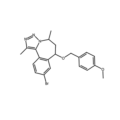 COc1ccc(COC2CC(C)n3nnc(C)c3-c3ccc(Br)cc32)cc1